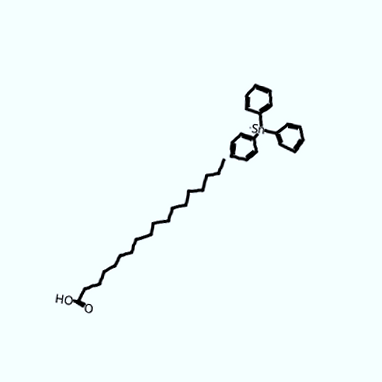 CCCCCCCCCCCCCCCCCC(=O)O.c1cc[c]([Sn]([c]2ccccc2)[c]2ccccc2)cc1